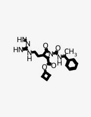 C[C@@H](NC(=O)N1C(=O)C(CCNC(=N)N=N)C1C(=O)OC1CCC1)c1ccccc1